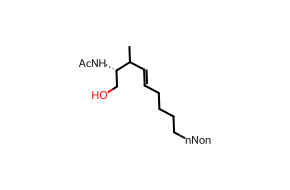 CCCCCCCCCCCCC/C=C/C(C)[C@H](CO)NC(C)=O